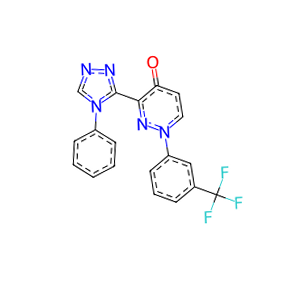 O=c1ccn(-c2cccc(C(F)(F)F)c2)nc1-c1nncn1-c1ccccc1